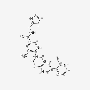 Cc1cc(C(=O)NCc2nccs2)cnc1N1CCc2ncc(-c3cccnc3F)cc2C1